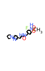 CS(=O)(=O)Nc1ccc(CNC(=O)C=Cc2ccc(N3CCCCC3)nc2)cc1F